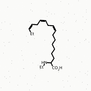 CC/C=C\C/C=C\C/C=C\CCCCCCC(NCC)C(=O)O